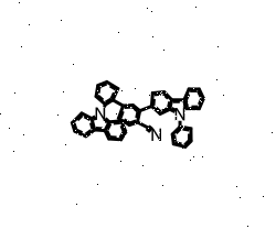 N#Cc1ccc(-c2ccccc2-n2c3ccccc3c3ccccc32)cc1-c1ccc2c3ccccc3n(-c3ccccc3)c2c1